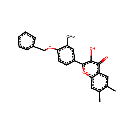 COc1cc(-c2oc3cc(C)c(C)cc3c(=O)c2O)ccc1OCc1ccccc1